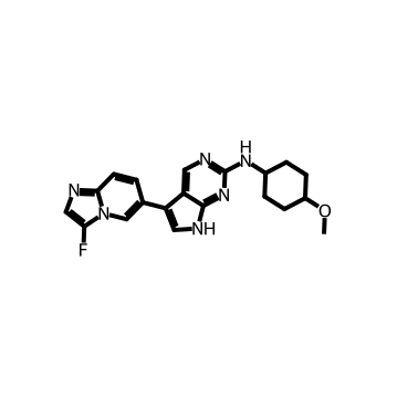 COC1CCC(Nc2ncc3c(-c4ccc5ncc(F)n5c4)c[nH]c3n2)CC1